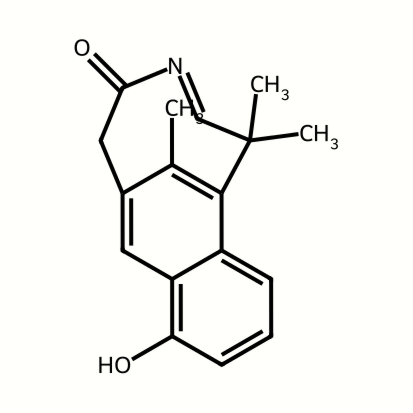 Cc1c2cc3c(O)cccc3c1C(C)(C)/C=N/C(=O)C2